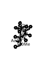 COC(COCc1ccccc1)[C@@H](COCC(OCc1ccccc1)C(OCc1ccccc1)C(COP(=O)(OCc1ccccc1)O[C@H](COCC(OCc1ccccc1)C(OCc1ccccc1)C(CO)OCc1ccccc1)C(COCc1ccccc1)OC)OCc1ccccc1)OC(=O)CCC(C)=O